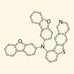 c1ccc2c(c1)oc1cc(N(c3ccc4oc5ccccc5c4c3)c3cccc4sc5cc6ccncc6cc5c34)ccc12